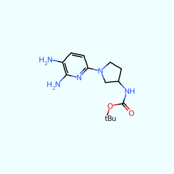 CC(C)(C)OC(=O)NC1CCN(c2ccc(N)c(N)n2)C1